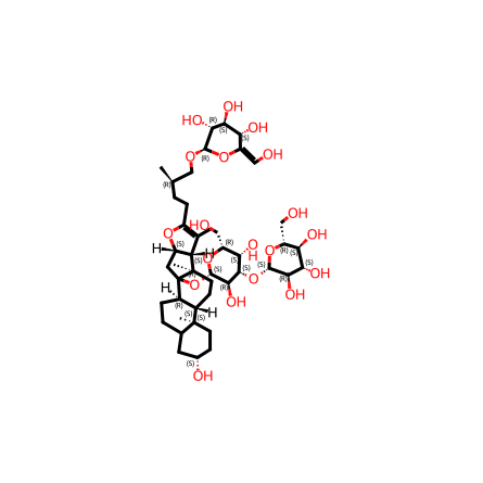 CC1=C(CC[C@@H](C)CO[C@@H]2OC(=CO)[C@@H](O)[C@H](O)[C@H]2O)O[C@H]2CC3(O[C@@H]4O[C@H](CO)[C@H](O)[C@H](O[C@@H]5O[C@H](CO)[C@@H](O)[C@H](O)[C@H]5O)[C@H]4O)[C@@H]4CCC5C[C@@H](O)CC[C@]5(C)[C@H]4CC[C@]3(C)[C@@H]12